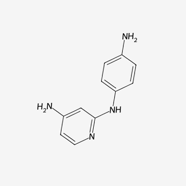 Nc1ccc(Nc2cc(N)ccn2)cc1